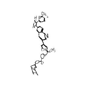 C=C/C(=C\C=C(/C)CN1CCCC(C(=O)OC2CNC2)C1)c1cnc2ccc(-c3nc[nH]c3-c3cccc(C)n3)cc2c1